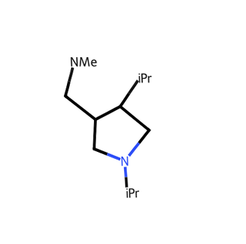 CNCC1CN(C(C)C)CC1C(C)C